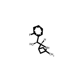 CC12CC(C1)[C@H]([C@@H](O)c1ccccc1F)N2